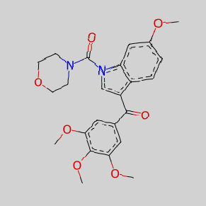 COc1ccc2c(C(=O)c3cc(OC)c(OC)c(OC)c3)cn(C(=O)N3CCOCC3)c2c1